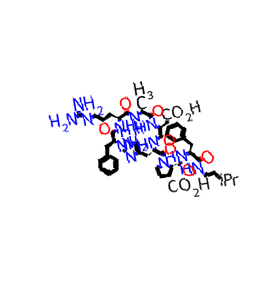 CC(C)C[C@H](NC(=O)[C@H](Cc1ccccc1)NC(=O)[C@@H]1CCCN1C(=O)[C@H](Cc1c[nH]cn1)NC(=O)[C@H](CC(=O)O)NC(=O)[C@H](C)NC(=O)[C@H](CCCN=C(N)N)NC(=O)[C@@H](N)Cc1ccccc1)C(=O)O